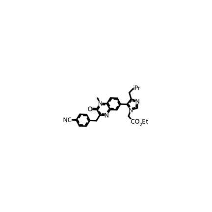 CCOC(=O)Cn1cnc(CC(C)C)c1-c1ccc2c(c1)nc(Cc1ccc(C#N)cc1)c(=O)n2C